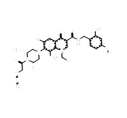 COc1c(N2C[C@@H](C)N(C(=O)CN=[N+]=[N-])[C@@H](C)C2)c(F)cc2c(=O)c(C(=O)NCc3ccc(OC(F)(F)F)cc3C)cn(CC(F)(F)F)c12